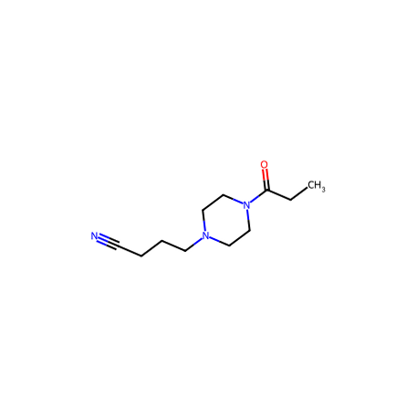 CCC(=O)N1CCN(CCCC#N)CC1